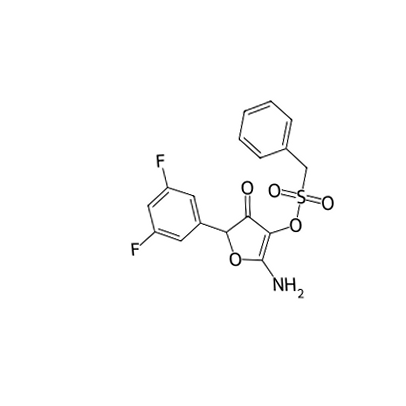 NC1=C(OS(=O)(=O)Cc2ccccc2)C(=O)C(c2cc(F)cc(F)c2)O1